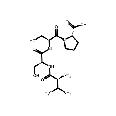 CC(C)[C@H](N)C(=O)N[C@@H](CO)C(=O)N[C@@H](CO)C(=O)N1CCC[C@H]1C(=O)O